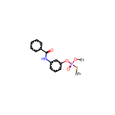 CCCSP(=O)(OCC)Oc1cccc(NC(=O)c2ccccc2)c1